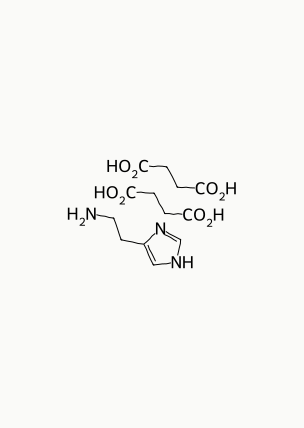 NCCc1c[nH]cn1.O=C(O)CCC(=O)O.O=C(O)CCC(=O)O